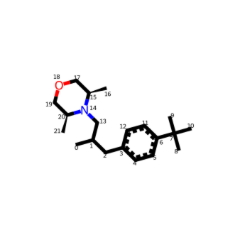 CC(Cc1ccc(C(C)(C)C)cc1)CN1[C@H](C)COC[C@@H]1C